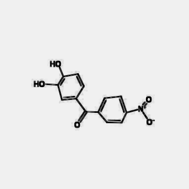 O=C(c1ccc([N+](=O)[O-])cc1)c1ccc(O)c(O)c1